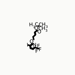 CC(C)(C)OC(=O)/C=C/CCOc1nc(C(F)(F)F)ccc1I